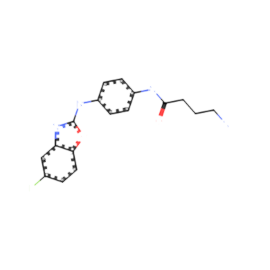 NCCCC(=O)Nc1ccc(Nc2nc3cc(F)ccc3o2)cc1